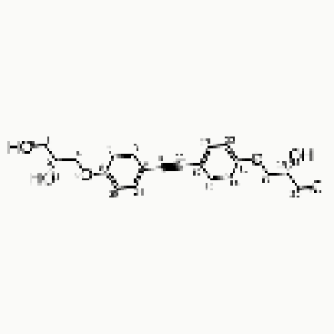 OC[C@@H](O)COc1ccc(C#Cc2ccc(OC[C@H](O)CCl)cc2)cc1